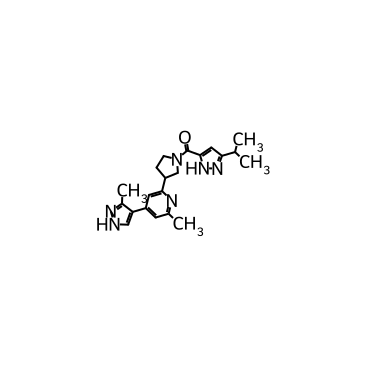 Cc1cc(-c2c[nH]nc2C)cc(C2CCN(C(=O)c3cc(C(C)C)n[nH]3)C2)n1